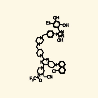 CCc1cc(-c2nnc(O)n2-c2ccc(CN3CCN(CC4CCN(c5nc6c(c(N7CCN(C(=O)C(F)(F)F)[C@@H](CC#N)C7)n5)CCN(c5cccc7cccc(Cl)c57)C6)CC4)CC3)cc2)c(O)cc1O